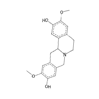 COc1cc2c(cc1O)CN1CCc3cc(OC)c(O)cc3C1C2